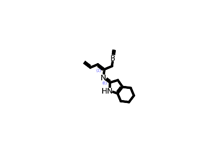 C=BCC(=C/C=C)/N=C1\CC2=C(CCCC2)N1